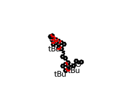 CC(C)(C)c1cc(-c2cccc3cccc(-c4ccccc4N(c4ccc(-c5ccc6c(CC(C)(C)c7cc(-c8cccc9cccc(-c%10ccccc%10N(c%10ccccc%10-c%10cccc%11c%10ccc%10ccccc%10%11)c%10ccccc%10-c%10cccc%11c%10oc%10ccccc%10%11)c89)cc(C(C)(C)C)c7)cccc6c5)cc4)c4cccc(-c5cccc6c5oc5ccccc56)c4)c23)cc(C(C)(C)C)c1